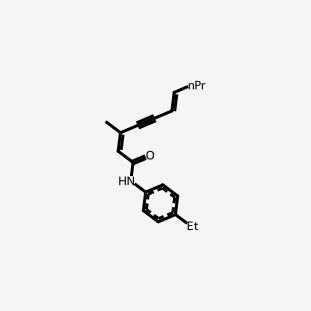 CCC/C=C/C#C/C(C)=C\C(=O)Nc1ccc(CC)cc1